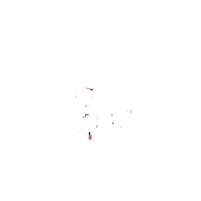 CC(C)C[C@H](NC(=O)OC(C)(C)C)C(=O)NC(CC1CCNOC1)C(=O)CCl